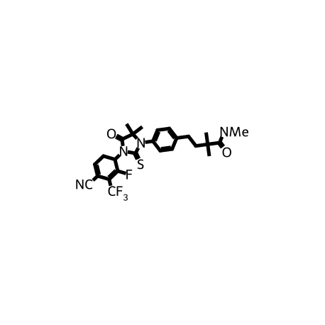 CNC(=O)C(C)(C)CCc1ccc(N2C(=S)N(C3CC=C(C#N)C(C(F)(F)F)=C3F)C(=O)C2(C)C)cc1